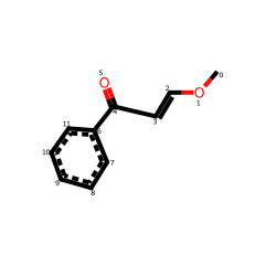 CO/C=C/C(=O)c1ccccc1